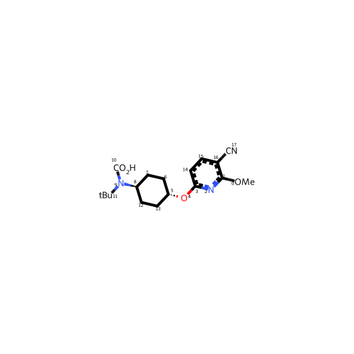 COc1nc(O[C@H]2CC[C@H](N(C(=O)O)C(C)(C)C)CC2)ccc1C#N